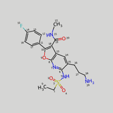 CCS(=O)(=O)Nc1nc2oc(-c3ccc(F)cc3)c(C(=O)NC)c2cc1CCCN